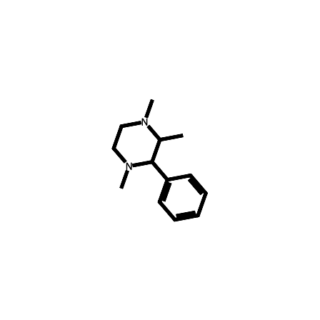 CC1C(c2ccccc2)N(C)CCN1C